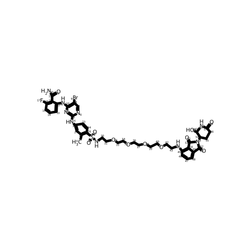 Cc1cc(Nc2ncc(Br)c(Nc3cccc(F)c3C(N)=O)n2)ccc1S(=O)(=O)NCCOCCOCCOCCOCCNc1cccc2c1C(=O)N(C1CCC(=O)NC1O)C2=O